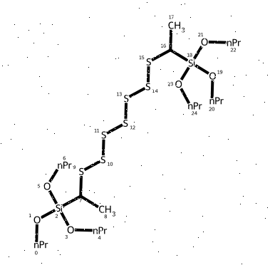 CCCO[Si](OCCC)(OCCC)C(C)SSSSSSSC(C)[Si](OCCC)(OCCC)OCCC